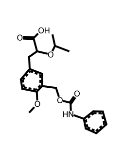 COc1ccc(CC(OC(C)C)C(=O)O)cc1COC(=O)Nc1ccccc1